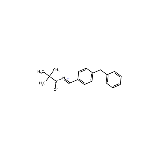 CC(C)(C)[S+]([O-])/N=C/c1ccc(Cc2ccccc2)cc1